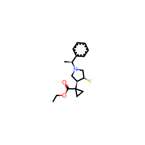 CCOC(=O)C1([C@H]2CN([C@@H](C)c3ccccc3)C[C@H]2F)CC1